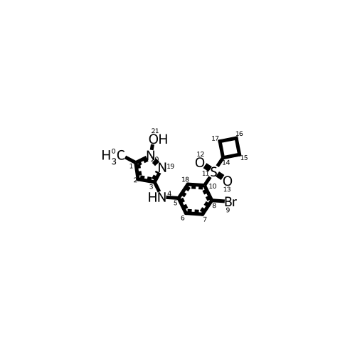 Cc1cc(Nc2ccc(Br)c(S(=O)(=O)C3CCC3)c2)nn1O